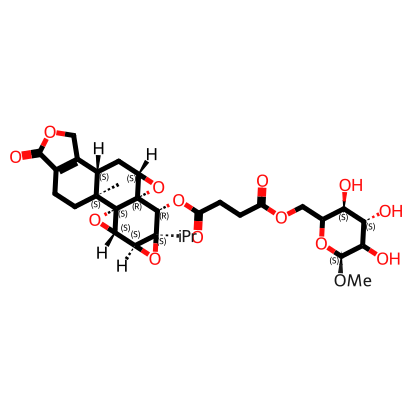 CO[C@H]1OC(COC(=O)CCC(=O)O[C@@H]2[C@@]3(C(C)C)O[C@H]3[C@@H]3O[C@]34[C@]23O[C@H]3C[C@H]2C3=C(CC[C@@]24C)C(=O)OC3)[C@@H](O)[C@H](O)C1O